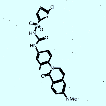 CNc1ccc2c(=O)n(-c3ccc(NC(=O)NS(=O)(=O)c4ccc(Cl)s4)cc3C)ccc2c1